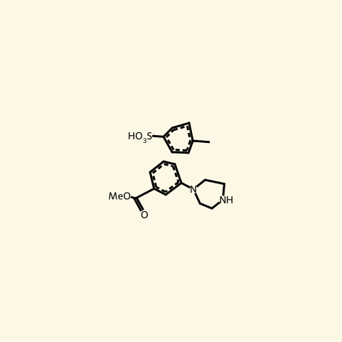 COC(=O)c1cccc(N2CCNCC2)c1.Cc1ccc(S(=O)(=O)O)cc1